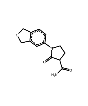 NC(=O)C1CCN(c2ccc3c(c2)COC3)C1=O